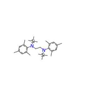 Cc1cc(C)c(N(CCN(c2c(C)cc(C)cc2C)[Si](C)(C)C)[Si](C)(C)C)c(C)c1